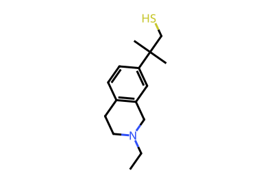 CCN1CCc2ccc(C(C)(C)CS)cc2C1